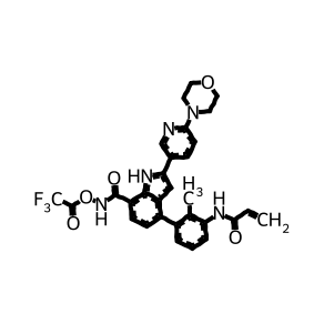 C=CC(=O)Nc1cccc(-c2ccc(C(=O)NOC(=O)C(F)(F)F)c3[nH]c(-c4ccc(N5CCOCC5)nc4)cc23)c1C